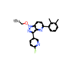 Cc1cccc(-c2ccc3c(n2)c(-c2ccc(F)nc2)nn3OCC(C)(C)C)c1C